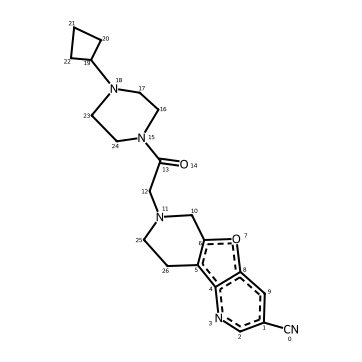 N#Cc1cnc2c3c(oc2c1)CN(CC(=O)N1CCN(C2CCC2)CC1)CC3